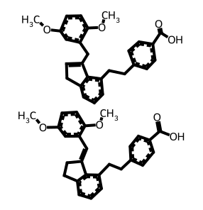 COc1ccc(OC)c(/C=C2\CCc3cccc(CCc4ccc(C(=O)O)cc4)c32)c1.COc1ccc(OC)c(CC2=CCc3cccc(CCc4ccc(C(=O)O)cc4)c32)c1